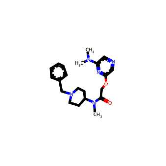 CN(C)c1cncc(OCC(=O)N(C)C2CCN(Cc3ccccc3)CC2)n1